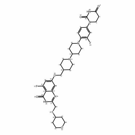 O=C1CCN(c2ccc(N3CCC(N4CCC(COc5cc(F)c6c(=O)[nH]c(CSC7CCOCC7)nc6c5)CC4)CC3)c(F)c2)C(=O)N1